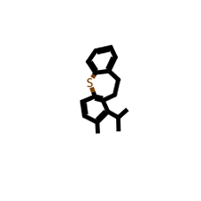 Cc1ccc2c(c1C(C)C)CCc1ccccc1S2